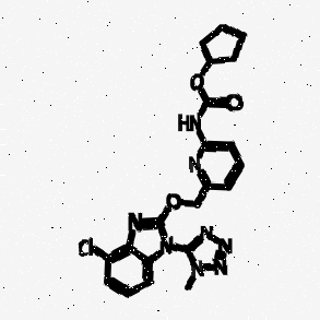 Cn1nnnc1-n1c(OCc2cccc(NC(=O)OC3CCCC3)n2)nc2c(Cl)cccc21